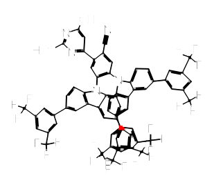 Cc1cc(-c2cc(-n3c4ccc(-c5cc(C(F)(F)F)cc(C(F)(F)F)c5)cc4c4cc(-c5cc(C(F)(F)F)cc(C(F)(F)F)c5)ccc43)c(-n3c4ccc(-c5cc(C(F)(F)F)cc(C(F)(F)F)c5)cc4c4cc(-c5cc(C(F)(F)F)cc(C(F)(F)F)c5)ccc43)cc2C#N)nc(C)n1